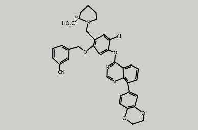 N#Cc1cccc(COc2cc(Oc3ncnc4c(-c5ccc6c(c5)OCCO6)cccc34)c(Cl)cc2CN2CCCC[C@H]2C(=O)O)c1